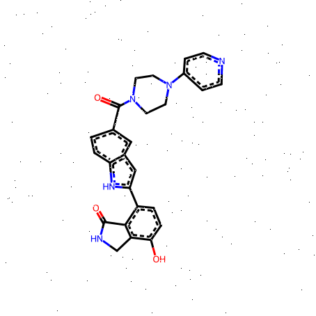 O=C1NCc2c(O)ccc(-c3cc4cc(C(=O)N5CCN(c6ccncc6)CC5)ccc4[nH]3)c21